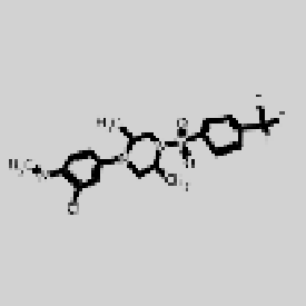 C=Nc1ccc(N2CC(C)N(S(=O)(=O)c3ccc(C(F)(F)F)cc3)CC2C)cc1Cl